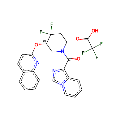 O=C(O)C(F)(F)F.O=C(c1ncn2ccccc12)N1CCC(F)(F)[C@@H](Oc2ccc3ccccc3n2)C1